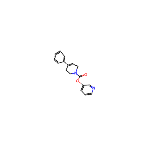 O=C(Oc1cccnc1)N1CC=C(c2ccccc2)CC1